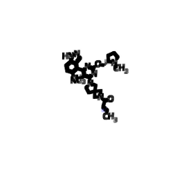 C/C=C/C(=O)N1CC2(CCN(c3nc(OC[C@@H]4CCCN4C)nc(-c4c(C)ccc5[nH]ncc45)c3C#N)C2)C1